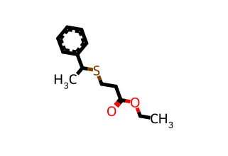 CCOC(=O)CCSC(C)c1ccccc1